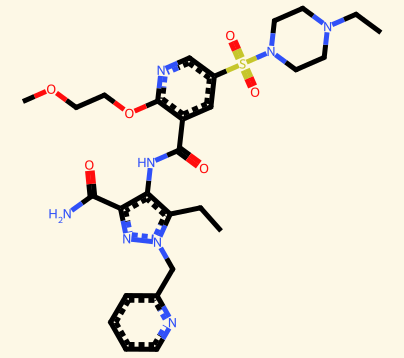 CCc1c(NC(=O)c2cc(S(=O)(=O)N3CCN(CC)CC3)cnc2OCCOC)c(C(N)=O)nn1Cc1ccccn1